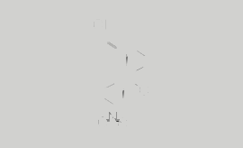 O=C(c1cccc(C#CCO)c1)c1cccc([N+](=O)[O-])c1